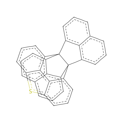 c1cc2c3c(cccc3c1)C13c4cccc5cccc(c45)C21c1cccc2sc4cccc3c4c12